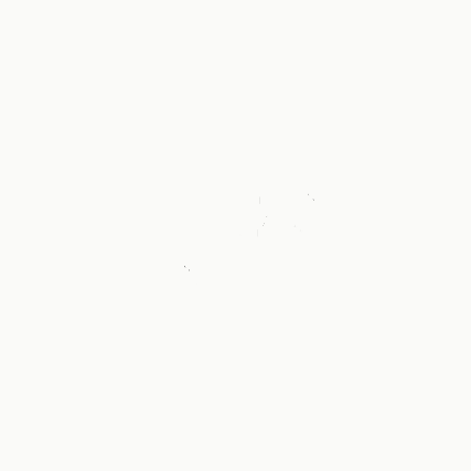 CC(C)COC1CC2CC[C@@H]3[C@@H](CC[C@]4(C)C(=O)C(N5CCCCC5)C[C@@H]34)[C@@]2(C)CC1N1CCCCC1